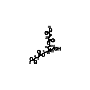 COC(=O)C=CC(=O)OCCN(CCO)CCOC(=O)C=CC(=O)OC